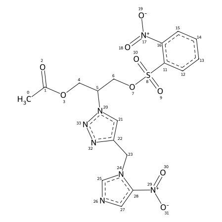 CC(=O)OCC(COS(=O)(=O)c1ccccc1[N+](=O)[O-])n1cc(Cn2cncc2[N+](=O)[O-])nn1